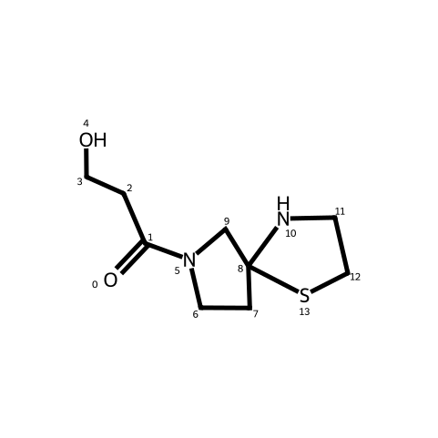 O=C(CCO)N1CCC2(C1)NCCS2